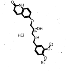 CCOc1ccc(CNC[C@H](O)COc2ccc3[nH]c(=O)ccc3c2)cc1OCC.Cl